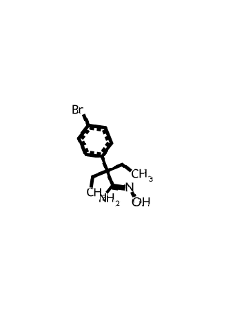 CCC(CC)(/C(N)=N/O)c1ccc(Br)cc1